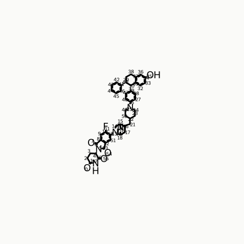 O=C1CCC(N2C(=O)c3cc(F)c(N4CC5CCC4CN5CC4CCN(c5ccc([C@@H]6c7ccc(O)cc7CC[C@@H]6c6ccccc6)cc5)CC4)cc3C2=O)C(=O)N1